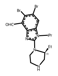 CC[C@H]1CNCCN1c1nc2c(C=O)c(Br)c(Br)cc2n1C(C)C